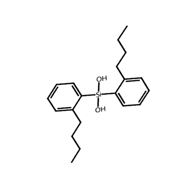 CCCCc1ccccc1[Si](O)(O)c1ccccc1CCCC